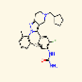 Cc1cccc(OCC(C)C)c1-n1nc2c(c1-c1ccc(NC(N)=O)c(F)c1)CN(CC1CCCC1)CC2